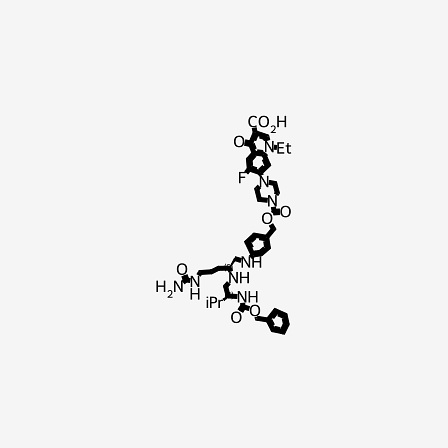 CCn1cc(C(=O)O)c(=O)c2cc(F)c(N3CCN(C(=O)OCc4ccc(NC[C@H](CCCNC(N)=O)NC[C@@H](NC(=O)OCc5ccccc5)C(C)C)cc4)CC3)cc21